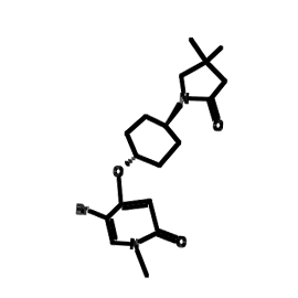 Cn1cc(Br)c(O[C@H]2CC[C@H](N3CC(C)(C)CC3=O)CC2)cc1=O